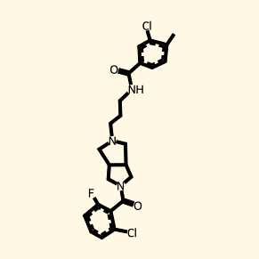 Cc1ccc(C(=O)NCCCN2CC3CN(C(=O)c4c(F)cccc4Cl)CC3C2)cc1Cl